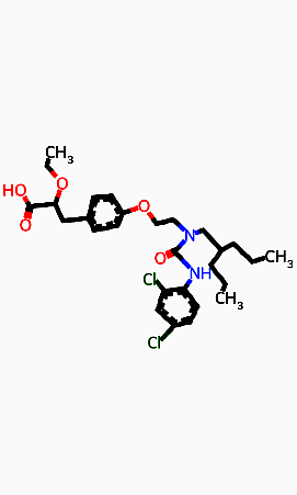 CCCC(CCC)CN(CCOc1ccc(CC(OCC)C(=O)O)cc1)C(=O)Nc1ccc(Cl)cc1Cl